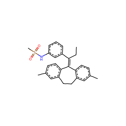 CCC(=C1c2ccc(C)cc2CCc2cc(C)ccc21)c1cccc(NS(C)(=O)=O)c1